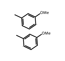 COc1[c]ccc(C)c1.COc1cc[c]c(C)c1